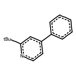 CC(C)(C)c1cc(-c2ccccc2)ccn1